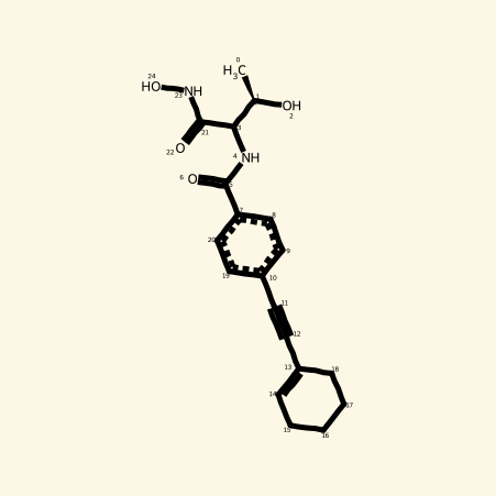 C[C@@H](O)C(NC(=O)c1ccc(C#CC2=CCCCC2)cc1)C(=O)NO